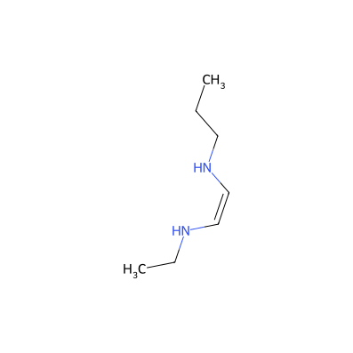 CCCN/C=C\NCC